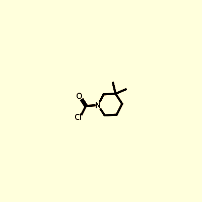 CC1(C)CCCN(C(=O)Cl)C1